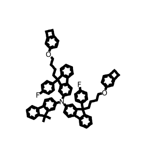 CC1(C)c2ccccc2-c2ccc(N(c3ccc4c(c3)C(CCCCOc3ccc5c(c3)CC5)(c3ccc(F)cc3)c3ccccc3-4)c3ccc4c(c3)C(CCCCOc3ccc5c(c3)CC5)(c3ccc(F)cc3)c3ccccc3-4)cc21